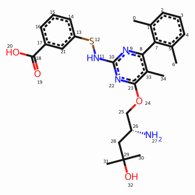 Cc1cccc(C)c1-c1nc(NSc2cccc(C(=O)O)c2)nc(OC[C@H](N)CC(C)(C)O)c1C